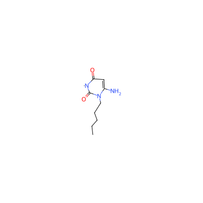 CCCCCN1C(=O)[N]C(=O)C=C1N